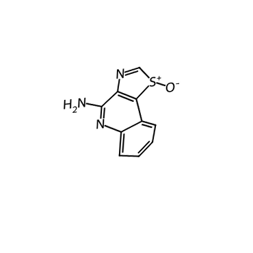 Nc1nc2ccccc2c2c1nc[s+]2[O-]